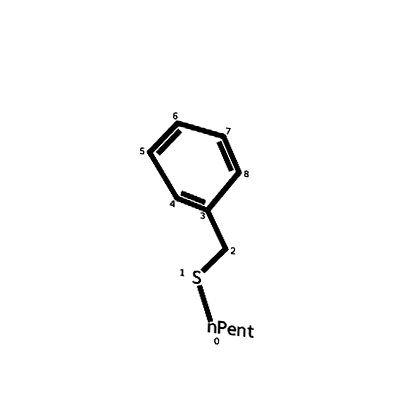 CCCCCSCc1ccccc1